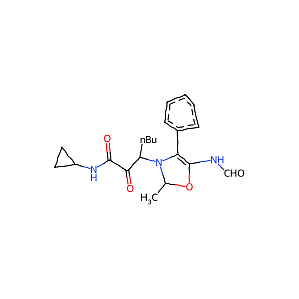 CCCCC(C(=O)C(=O)NC1CC1)N1C(c2ccccc2)=C(NC=O)OC1C